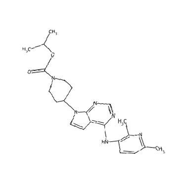 Cc1ccc(Nc2ncnc3c2ccn3C2CCN(C(=O)OC(C)C)CC2)c(C)n1